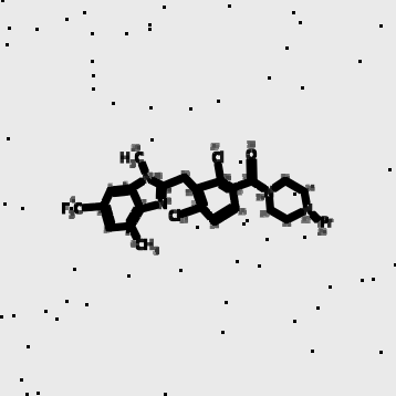 Cc1cc(C(F)(F)F)cc2c1nc(Cc1c(Cl)ccc(C(=O)N3CCN(C(C)C)CC3)c1Cl)n2C